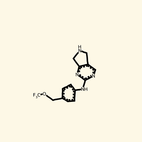 FC(F)(F)OCc1ccc(Nc2ncc3c(n2)CNC3)cc1